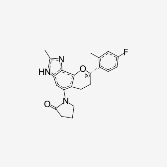 Cc1nc2c3c(c(N4CCCC4=O)cc2[nH]1)CC[C@@H](c1ccc(F)cc1C)O3